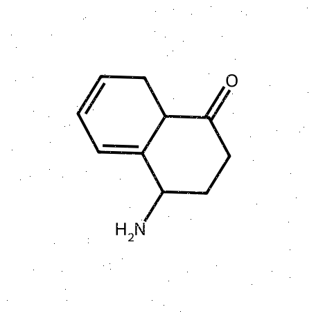 NC1CCC(=O)C2CC=CC=C12